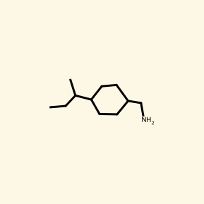 CCC(C)C1CCC(CN)CC1